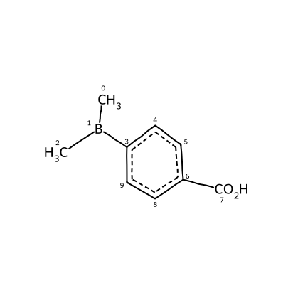 CB(C)c1ccc(C(=O)O)cc1